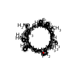 CCCC[C@H]1C(=O)N2CCC[C@@H]2C(=O)N[C@@H](COC=O)C(=O)N[C@@H](C(C)C)C(=O)N(C)[C@@H](Cc2ccc(F)cc2)C(=O)N[C@@H](CCN)C(=O)N2CCC[C@@H]2C(=O)N[C@@H](Cc2c[nH]c3ccccc23)C(=O)N[C@@H](Cc2ccc(O)cc2)C(=O)N[C@@H](CC(C)C)C(=O)N[C@H](C(=O)NCC(N)=O)CSCC(=O)N[C@@H](Cc2ccc(F)cc2)C(=O)N(C)[C@@H](Cc2ccccc2)C(=O)N1C